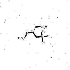 CCOC(=O)O[C@H](CC(=O)O)C[N+](C)(C)C